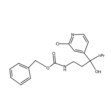 CCCC(O)(CCNC(=O)OCc1ccccc1)c1ccnc(Cl)c1